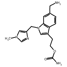 Cn1cnc(Cn2cc(CCOC(N)=O)c3ccc(CN)cc32)c1